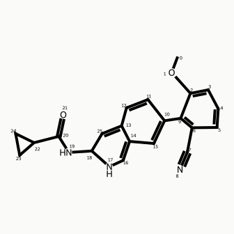 COc1cccc(C#N)c1-c1ccc2c(c1)=CNC(NC(=O)C1CC1)C=2